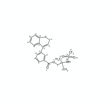 CC(C)(COC(=O)c1cccc(C2=CCCc3ccccc32)c1)NS(=O)(=O)C(F)(F)F